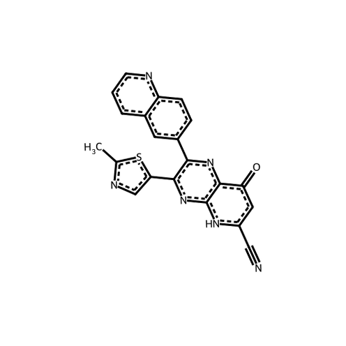 Cc1ncc(-c2nc3[nH]c(C#N)cc(=O)c3nc2-c2ccc3ncccc3c2)s1